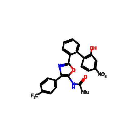 CCCCC(=O)Nc1oc(-c2ccccc2-c2ccc([N+](=O)[O-])cc2O)nc1-c1ccc(C(F)(F)F)cc1